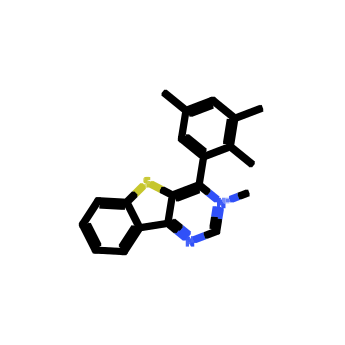 Cc1cc(C)c(C)c(-c2c3sc4ccccc4c3nc[n+]2C)c1